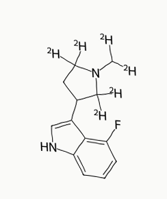 [2H]C([2H])N1C([2H])([2H])CC(c2c[nH]c3cccc(F)c23)C1([2H])[2H]